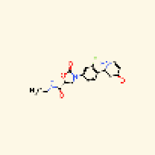 CCNC(=O)[C@H]1CN(c2ccc(C3CC(=O)C=CN3)c(F)c2)C(=O)O1